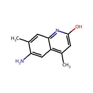 Cc1cc2nc(O)cc(C)c2cc1N